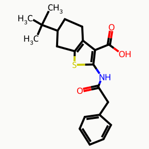 CC(C)(C)C1CCc2c(sc(NC(=O)Cc3ccccc3)c2C(=O)O)C1